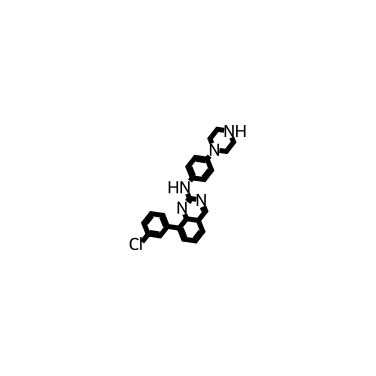 Clc1cccc(C2=CC=CC3C=NC(Nc4ccc(N5CCNCC5)cc4)=NC23)c1